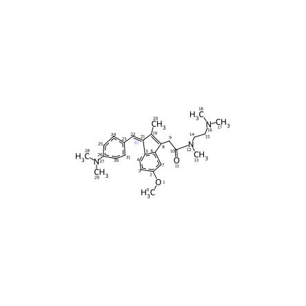 COc1ccc2c(c1)C(CC(=O)N(C)CCN(C)C)=C(C)/C2=C/c1ccc(N(C)C)cc1